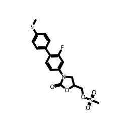 CSc1ccc(-c2ccc(N3CC(COS(C)(=O)=O)OC3=O)cc2F)cc1